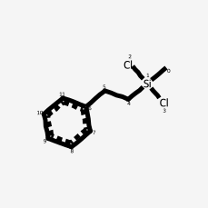 C[Si](Cl)(Cl)CCc1ccccc1